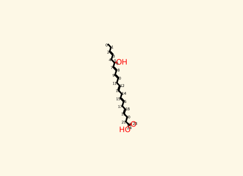 CCC=CCC(O)C=CC=CCC=CCC=CCC=CCCC(=O)O